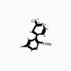 COc1ccc(F)cc1-c1ccnc(Cl)c1